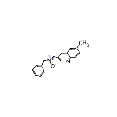 Cc1ccc2ncc(/C=[N+](\[O-])Cc3ccccc3)cc2c1